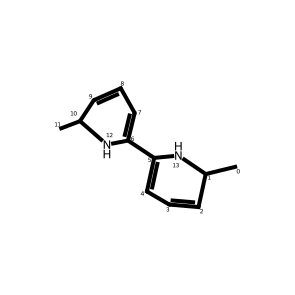 CC1C=CC=C(C2=CC=CC(C)N2)N1